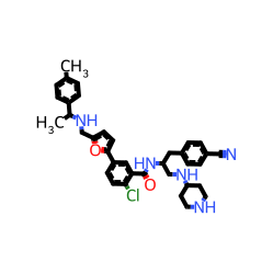 Cc1ccc(C(C)NCc2ccc(-c3ccc(Cl)c(C(=O)NC(CNC4CCNCC4)Cc4ccc(C#N)cc4)c3)o2)cc1